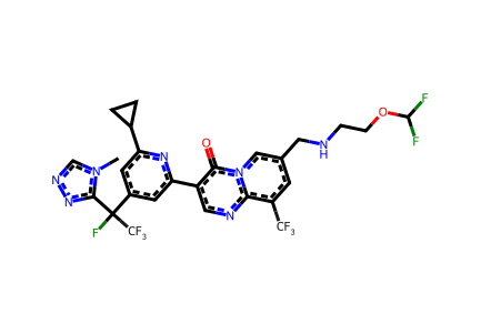 Cn1cnnc1C(F)(c1cc(-c2cnc3c(C(F)(F)F)cc(CNCCOC(F)F)cn3c2=O)nc(C2CC2)c1)C(F)(F)F